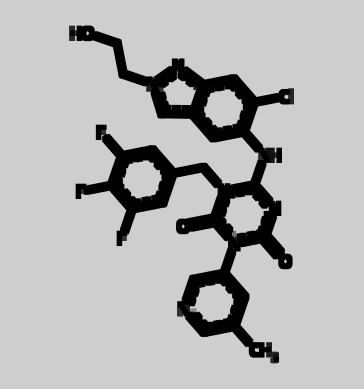 Cc1cncc(-n2c(=O)nc(Nc3cc4cn(CCO)nc4cc3Cl)n(Cc3cc(F)c(F)c(F)c3)c2=O)c1